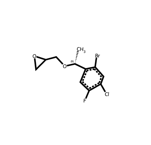 C[C@@H](OCC1CO1)c1cc(F)c(Cl)cc1Br